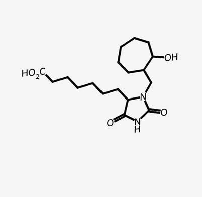 O=C(O)CCCCCCC1C(=O)NC(=O)N1CC1CCCCCC1O